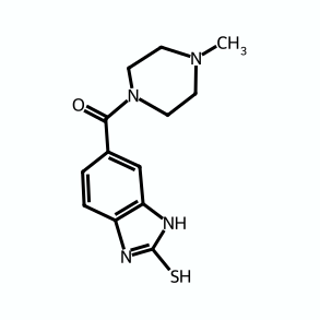 CN1CCN(C(=O)c2ccc3nc(S)[nH]c3c2)CC1